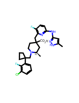 Cc1cc(Nc2ccc(F)c(CC3(C(=O)O)CCN(CC4(c5cccc(Cl)c5F)CCC4)[C@H](C)C3)n2)n[nH]1